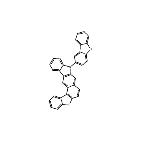 c1ccc2c(c1)oc1ccc(-n3c4ccccc4c4cc5c(ccc6sc7ccccc7c65)cc43)cc12